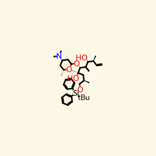 C=C[C@H](C)[C@@H](O)C(C)[C@@H](OC1C[C@@H](N(C)C)C[C@@H](C)O1)[C@](C)(O)C[C@@H](C)CO[Si](c1ccccc1)(c1ccccc1)C(C)(C)C